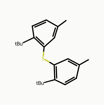 Cc1ccc(C(C)(C)C)c(Sc2cc(C)ccc2C(C)(C)C)c1